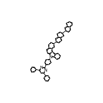 c1ccc(-c2cc(-c3ccccc3)nc(-c3ccc(-n4c5ccccc5c5c6cc(-c7ccc8cc(-c9ccc%10ccccc%10c9)ccc8c7)ccc6ccc54)cc3)n2)cc1